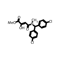 COC(=O)C(O)=CC(=O)N(C)C(c1ccc(Cl)cc1)c1ccc(Cl)cc1